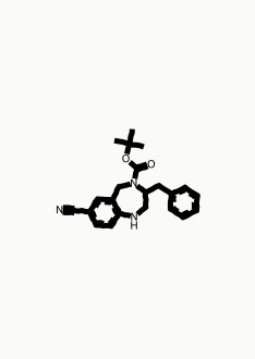 CC(C)(C)OC(=O)N1Cc2cc(C#N)ccc2NCC1Cc1ccccc1